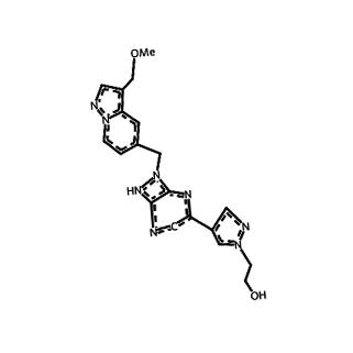 COCc1cnn2ccc(Cn3[nH]c4ncc(-c5cnn(CCO)c5)nc43)cc12